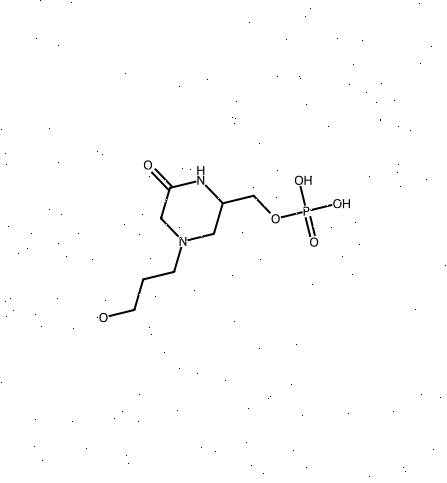 [O]CCCN1CC(=O)NC(COP(=O)(O)O)C1